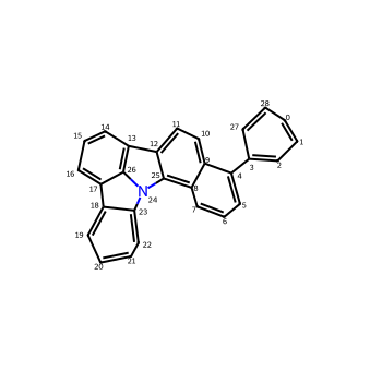 c1ccc(-c2cccc3c2ccc2c4cccc5c6ccccc6n(c32)c54)cc1